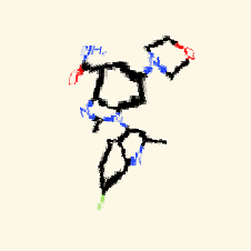 Cc1cc(-n2c(C)nc3c(C(N)=O)cc(N4CCOCC4)cc32)c2ccc(F)cc2n1